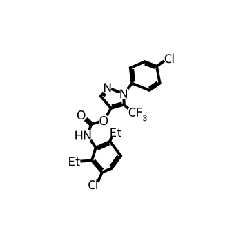 CCc1ccc(Cl)c(CC)c1NC(=O)Oc1cnn(-c2ccc(Cl)cc2)c1C(F)(F)F